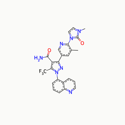 Cc1cc(-c2nn(-c3cccc4ncccc34)c(C(F)(F)F)c2C(N)=O)cnc1-n1ccn(C)c1=O